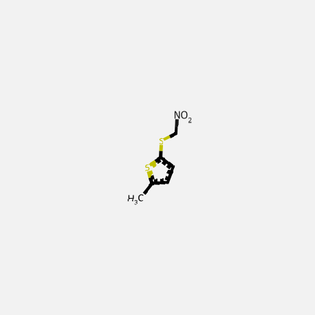 Cc1ccc(SC[N+](=O)[O-])s1